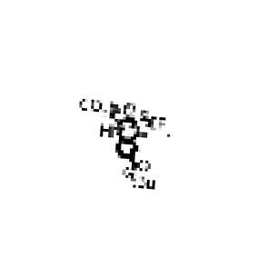 CC(C)(C)OC(=O)c1ccc2c(c1)CN(CC(F)(F)F)C(=O)[C@H](CC(=O)O)N2